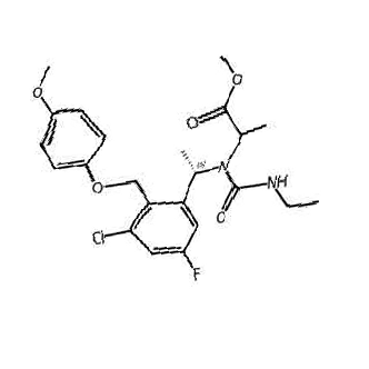 CCNC(=O)N(C(C)C(=O)OC)[C@@H](C)c1cc(F)cc(Cl)c1COc1ccc(OC)cc1